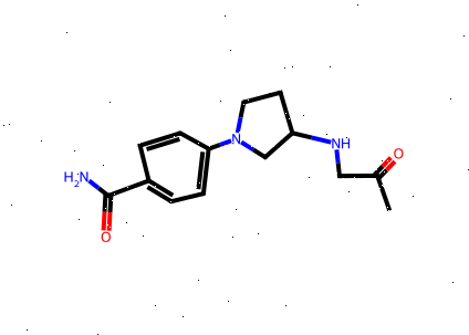 CC(=O)CNC1CCN(c2ccc(C(N)=O)cc2)C1